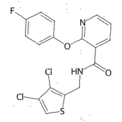 O=C(NCc1scc(Cl)c1Cl)c1cccnc1Oc1ccc(F)cc1